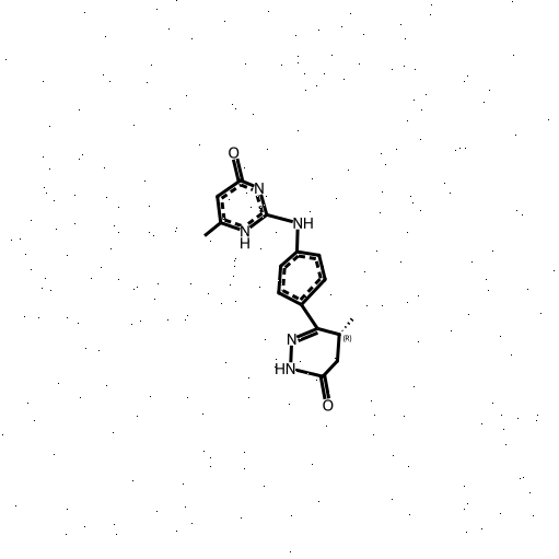 Cc1cc(=O)nc(Nc2ccc(C3=NNC(=O)C[C@H]3C)cc2)[nH]1